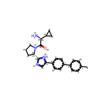 Cc1ccc(-c2ccc(-c3cnc([C@@H]4CCCN4C(=O)[C@@H](N)C4CC4)[nH]3)cc2)cc1